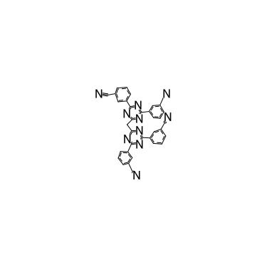 N#Cc1cccc(-c2nc(Cc3nc(-c4cccc(C#N)c4)nc(-c4cccc(C#N)c4)n3)nc(-c3cccc(C#N)c3)n2)c1